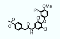 COc1ccc(Oc2c(Cl)cc(NC(=O)Cc3ccc(S(C)(=O)=O)cc3)cc2Cl)cc1C(C)C